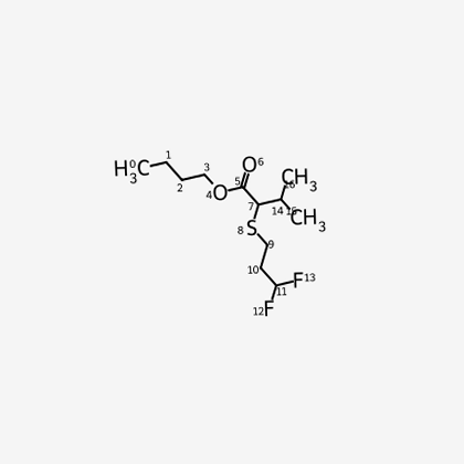 CCCCOC(=O)C(SCCC(F)F)C(C)C